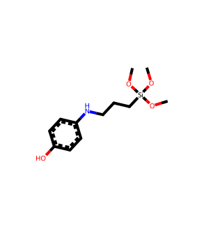 CO[Si](CCCNc1ccc(O)cc1)(OC)OC